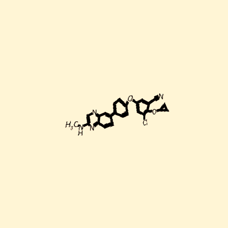 CNc1cnc2cc(-c3ccc(Oc4cc(Cl)c(OC5CC5)c(C#N)c4)cc3)ccc2n1